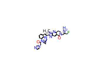 Cn1c(-c2cc3cccc(NC(=O)Cn4ccnc4)c3n2CC2CC2)nc2cc3c(nc21)CCN(C[C@H](N)CF)C3=O